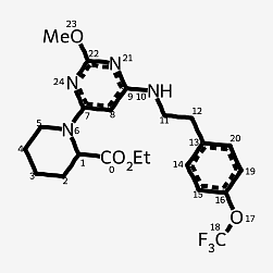 CCOC(=O)C1CCCCN1c1cc(NCCc2ccc(OC(F)(F)F)cc2)nc(OC)n1